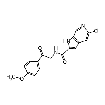 COc1ccc(C(=O)CNC(=O)c2cc3cc(Cl)ncc3[nH]2)cc1